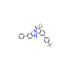 C=C1N=C(N(C)c2ccc(-c3ccccc3)cc2C)c2cc(-c3ccc(C(C)(C)C)cc3)ccc2C1(CC)CC